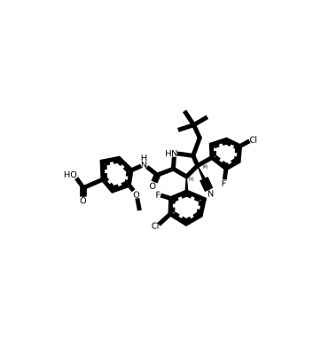 COc1cc(C(=O)O)ccc1NC(=O)C1NC(CC(C)(C)C)[C@](C#N)(c2ccc(Cl)cc2F)[C@H]1c1cccc(Cl)c1F